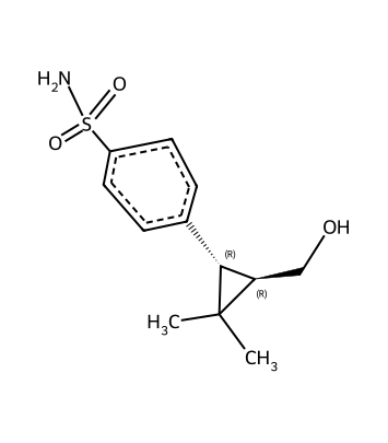 CC1(C)[C@H](CO)[C@H]1c1ccc(S(N)(=O)=O)cc1